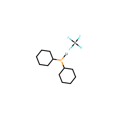 F[B-](F)(F)F.[Li][P](C1CCCCC1)C1CCCCC1